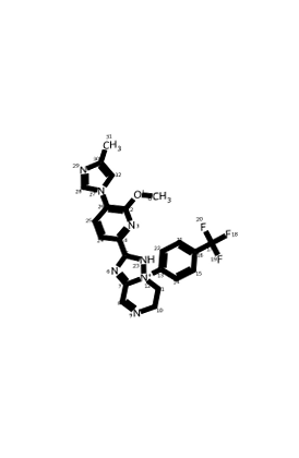 COc1nc(C2N=C3C=NCC[N+]3(c3ccc(C(F)(F)F)cc3)N2)ccc1-n1cnc(C)c1